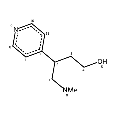 CNCC(CCO)c1ccncc1